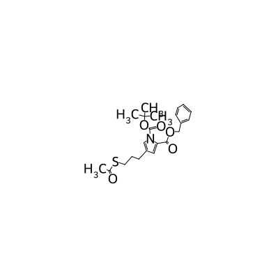 CC(=O)SCCCc1cc(C(=O)OCc2ccccc2)n(C(=O)OC(C)(C)C)c1